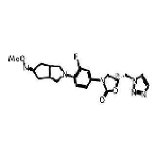 CON=C1CC2CN(c3ccc(N4C[C@H](Cn5ccnn5)OC4=O)cc3F)CC2C1